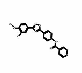 CC(C)Oc1ccc(-c2noc(-c3ccc(NC(=O)c4ccncc4)cc3)n2)cc1Cl